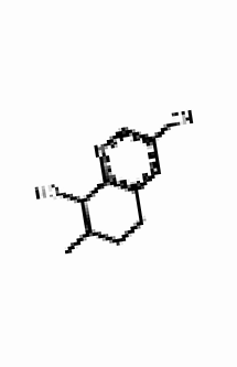 CC1CCc2cc(C#N)cnc2C1O